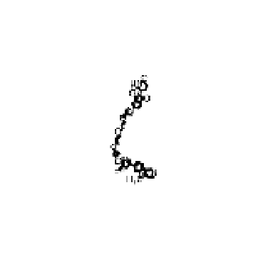 Cn1c2ccncc2c2ccc(-c3cnc(O[C@H]4C[C@H](OCCCOCCCOC5CN(c6ccc7c(c6)C(=O)N(C6CCC(=O)NC6=O)C7=O)C5)C4)c(C(F)(F)F)c3)cc21